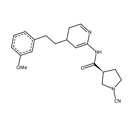 COc1cccc(CCC2C=C(NC(=O)[C@H]3CCN(C#N)C3)N=CC2)c1